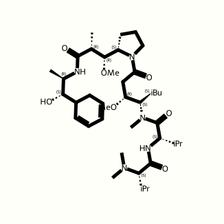 CC[C@H](C)[C@@H]([C@@H](CC(=O)N1CCC[C@H]1[C@H](OC)[C@@H](C)C(=O)N[C@H](C)[C@@H](O)C1C=CC=CC1)OC)N(C)C(=O)[C@@H](NC(=O)[C@H](C(C)C)N(C)C)C(C)C